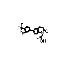 O=C(O)CN1C(=O)CCc2cc(-c3ccc(C(F)(F)F)c(F)c3)ccc21